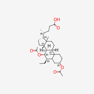 CC[C@@H]1C2C[C@H](OC(C)=O)CCC2(C)[C@H]2CCC3(C)[C@@H]([C@H](C)CCC(=O)O)CC[C@H]3[C@@H]2[C@@H]1OC(C)=O